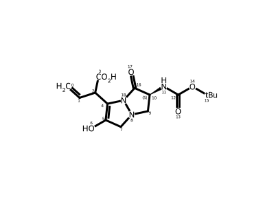 C=CC(C(=O)O)C1=C(O)CN2C[C@H](NC(=O)OC(C)(C)C)C(=O)N12